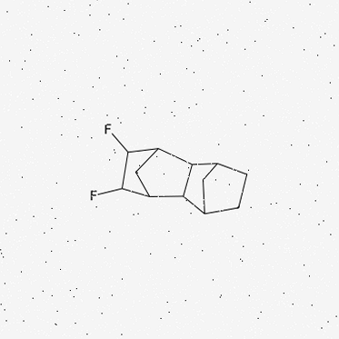 FC1C(F)C2CC1C1C3CCC(C3)C21